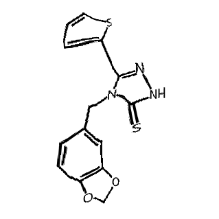 S=c1[nH]nc(-c2cccs2)n1Cc1ccc2c(c1)OCO2